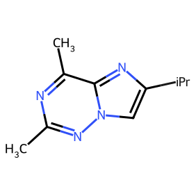 Cc1nc(C)c2nc(C(C)C)cn2n1